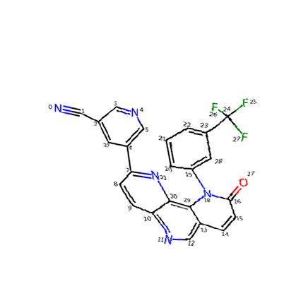 N#Cc1cncc(-c2ccc3ncc4ccc(=O)n(-c5cccc(C(F)(F)F)c5)c4c3n2)c1